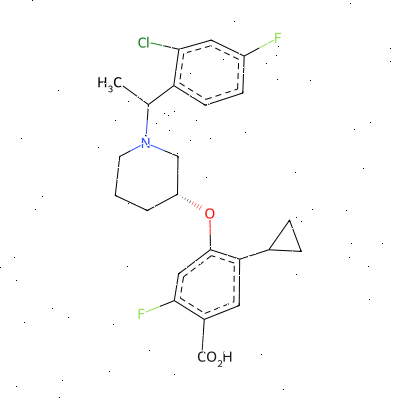 CC(c1ccc(F)cc1Cl)N1CCC[C@@H](Oc2cc(F)c(C(=O)O)cc2C2CC2)C1